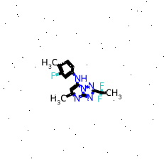 Cc1cc(Nc2ccc(C)c(F)c2)n2nc(C(C)(F)F)nc2n1